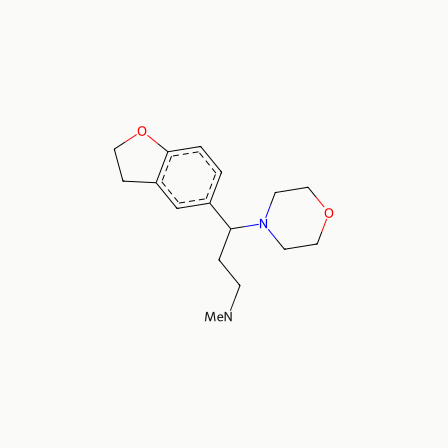 CNCCC(c1ccc2c(c1)CCO2)N1CCOCC1